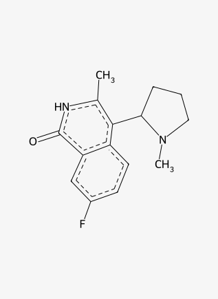 Cc1[nH]c(=O)c2cc(F)ccc2c1C1CCCN1C